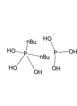 CCCCP(O)(O)(O)CCCC.OP(O)O